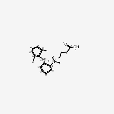 CCCC(=O)O.CN(C)c1ccccc1.Cc1cccc(C)c1N